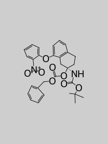 CC(C)(C)OC(=O)N[C@@]1(OC(=O)OCc2ccccc2)CCc2cccc(Oc3ccccc3[N+](=O)[O-])c2C1